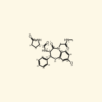 CNC(=O)CN1C(=O)[C@H](NC(=O)[C@@H]2CCC(=O)N2)[C@H](c2ccccc2)Sc2cc(Cl)ccc21